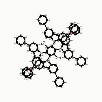 N#Cc1c(-n2c3ccc(-c4ccccc4)cc3c3cc(-c4ccccc4)ccc32)c(-n2c3ccc(-c4ccccc4)cc3c3cc(-c4ccccc4)ccc32)c(C#N)c(-n2c3ccc(-c4ccccc4)cc3c3cc(-c4ccccc4)ccc32)c1-n1c2ccc(-c3ccccc3)cc2c2cc(-c3ccccc3)ccc21